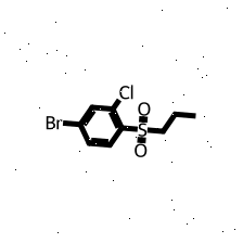 CCCS(=O)(=O)c1ccc(Br)cc1Cl